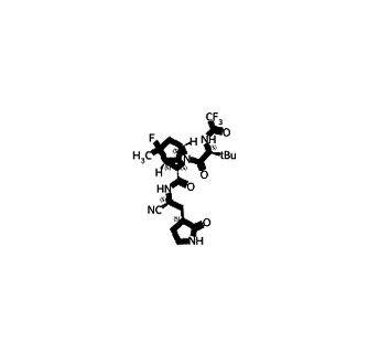 CC(C)(C)[C@H](NC(=O)C(F)(F)F)C(=O)N1[C@H]2C[C@@H]([C@H]1C(=O)N[C@H](C#N)C[C@@H]1CCNC1=O)C(C)(F)C2